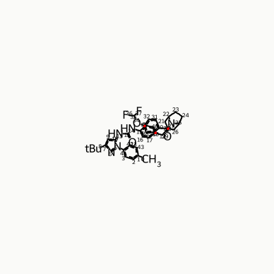 Cc1ccc(-n2nc(C(C)(C)C)cc2NC(=O)Nc2ccc(CC3CC4CCC(C3)N4C(=O)c3ccc(OC(F)F)cc3)cc2)cc1